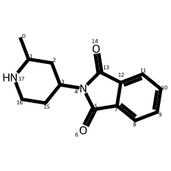 CC1CC(N2C(=O)c3ccccc3C2=O)CCN1